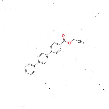 CCOC(=O)c1ccc(-c2ccc(-c3ccccc3)cc2)cc1